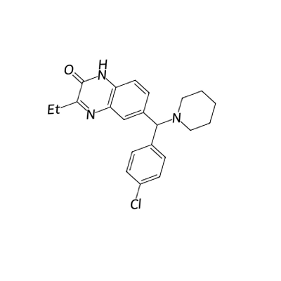 CCc1nc2cc(C(c3ccc(Cl)cc3)N3CCCCC3)ccc2[nH]c1=O